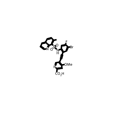 COc1cc(C(=O)O)ncc1C#Cc1cc(Br)c(F)cc1NS(=O)(=O)c1c(C)ccc2cccnc12